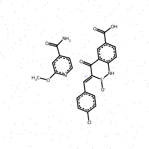 COc1cc(C(N)=O)ccn1.O=C(O)c1ccc2c(c1)C(=O)/C(=C/c1ccc(Cl)cc1)[S+]([O-])N2